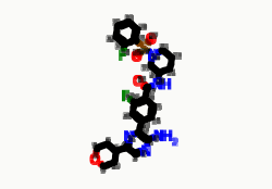 Nc1ncc(C2CCOCC2)nc1-c1ccc(C(=O)NC2CCCN(S(=O)(=O)c3ccccc3F)C2)c(F)c1